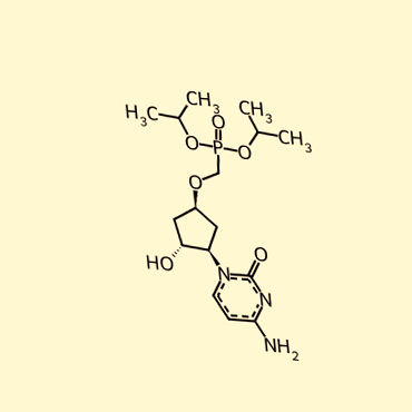 CC(C)OP(=O)(CO[C@@H]1C[C@@H](O)[C@H](n2ccc(N)nc2=O)C1)OC(C)C